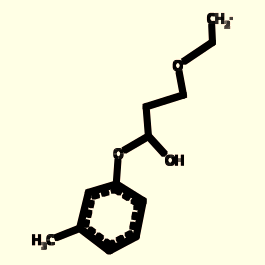 [CH2]COCCC(O)Oc1cccc(C)c1